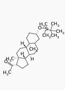 CC(=O)[C@H]1CC[C@H]2[C@@H]3CCC4C[C@@H](O[Si](C)(C)C(C)(C)C)CC[C@]4(C)[C@H]3CC[C@]12C